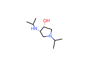 CC(C)N[C@H]1CN(C(C)C)C[C@H]1O